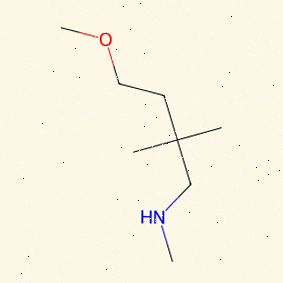 CNCC(C)(C)CCOC